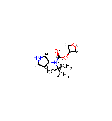 CC(C)(C)N(C(=O)OC1COC1)[C@H]1CCNC1